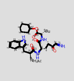 CCC(C)[C@H](NC(=O)[C@H](CCC(=O)C=N)NC(=O)[C@H](Cc1c[nH]c2ccccc12)NC(C)=O)C(=O)OC1CCCCC1